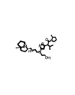 CC(C)C(C(=O)N1CCCC1C)c1cc(N(CCO)CCNC[C@H]2CC[C@]3(C)CCCN23)no1